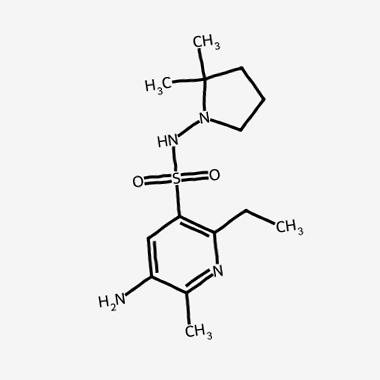 CCc1nc(C)c(N)cc1S(=O)(=O)NN1CCCC1(C)C